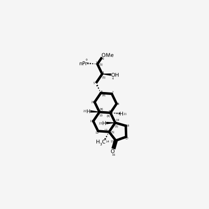 CCC[C@H](OC)[C@@H](O)C[C@@H]1CC[C@@H]2[C@H](CC[C@]3(C)C(=O)CC[C@@H]23)C1